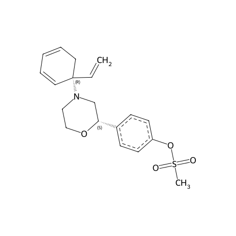 C=C[C@@]1(N2CCO[C@@H](c3ccc(OS(C)(=O)=O)cc3)C2)C=CC=CC1